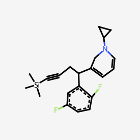 C[Si](C)(C)C#CCC(C1=CC=CN(C2CC2)C1)c1cc(F)ccc1F